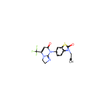 C#CCn1c(=O)sc2cc(N3C(=O)C=C(C(F)(F)F)N4CCN=C43)ccc21